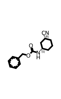 N#C[C@@H]1CCC[C@H](NC(=O)OCc2ccccc2)C1